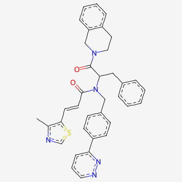 Cc1ncsc1C=CC(=O)N(Cc1ccc(-c2cccnn2)cc1)C(Cc1ccccc1)C(=O)N1CCc2ccccc2C1